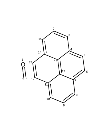 C=O.c1cc2ccc3cccc4ccc(c1)c2c34